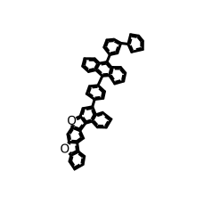 c1ccc(-c2cccc(-c3c4ccccc4c(-c4ccc(-c5cc6oc7cc8oc9ccccc9c8cc7c6c6ccccc56)cc4)c4ccccc34)c2)cc1